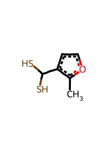 Cc1occc1C(S)S